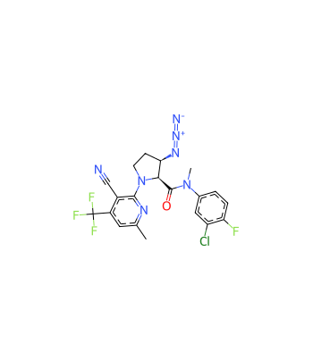 Cc1cc(C(F)(F)F)c(C#N)c(N2CC[C@@H](N=[N+]=[N-])[C@H]2C(=O)N(C)c2ccc(F)c(Cl)c2)n1